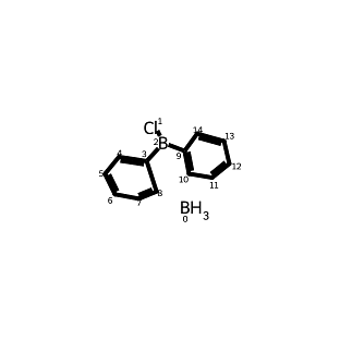 B.ClB(c1ccccc1)c1ccccc1